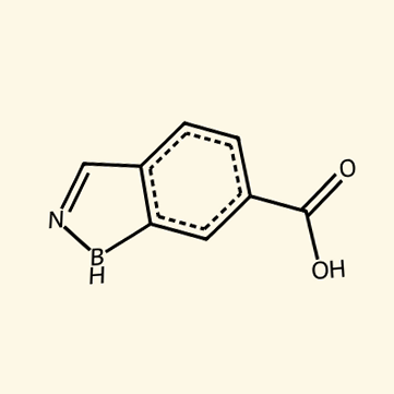 O=C(O)c1ccc2c(c1)BN=C2